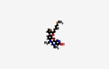 CSCCBCCC(Oc1cccc(N(C)CCN(C)c2cc(O)ncc2C=O)c1)c1cccs1